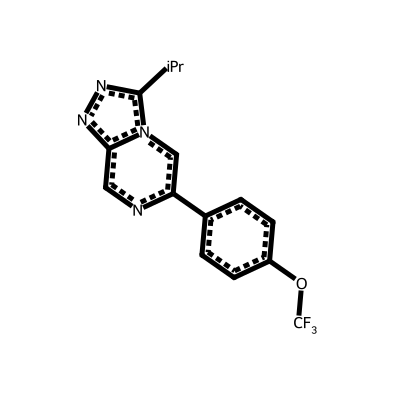 CC(C)c1nnc2cnc(-c3ccc(OC(F)(F)F)cc3)cn12